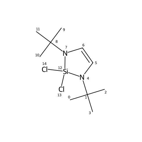 CC(C)(C)N1C=CN(C(C)(C)C)[Si]1(Cl)Cl